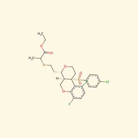 CCOC(=O)C(C)SCC[C@@H]1OCC[C@@]2(S(=O)(=O)c3ccc(Cl)cc3)c3c(F)ccc(F)c3OC[C@@H]12